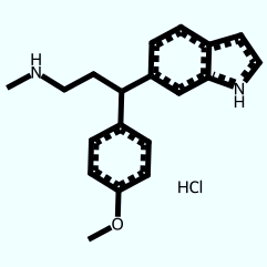 CNCCC(c1ccc(OC)cc1)c1ccc2cc[nH]c2c1.Cl